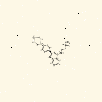 CC(C)(N)CCNc1cc(-c2ccc(N3CCNCC3)cc2)nc2ccccc12